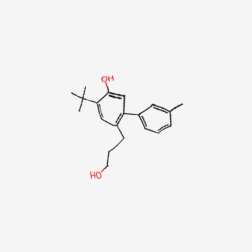 Cc1cccc(-c2cc(O)c(C(C)(C)C)cc2CCCO)c1